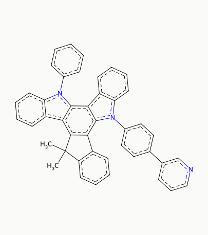 CC1(C)c2ccccc2-c2c1c1c3ccccc3n(-c3ccccc3)c1c1c3ccccc3n(-c3ccc(-c4cccnc4)cc3)c21